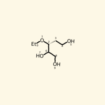 CCO[C@H](CCO)C(O)CO